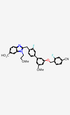 COCCn1c(Cc2ccc(-c3cc(OC)cc(OCc4ccc(C#N)cc4F)c3)cc2F)nc2ccc(C(=O)O)cc21